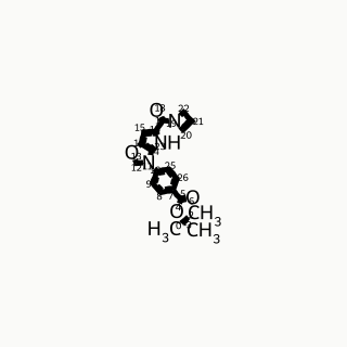 CC(C)(C)OC(=O)c1ccc(N2COc3cc(C(=O)N4C=CC4)[nH]c32)cc1